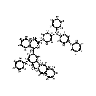 c1ccc(-c2ccc(N(c3ccccc3)c3ccc(-c4nc(-c5cc(-c6ccccc6)c6oc7cc8ccccc8cc7c6c5)c5ccccc5n4)cc3)cc2)cc1